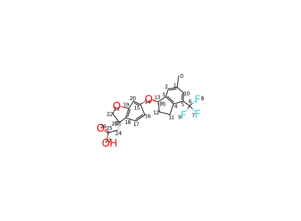 Cc1cc2c(c(C(F)(F)F)c1)CC[C@H]2Oc1ccc2c(c1)OC[C@H]2CC(=O)O